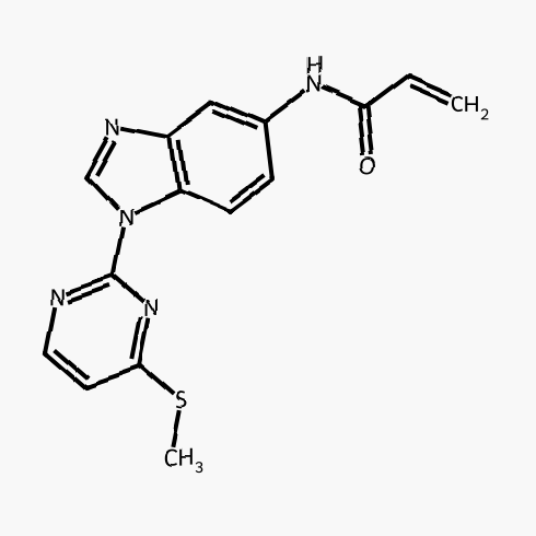 C=CC(=O)Nc1ccc2c(c1)ncn2-c1nccc(SC)n1